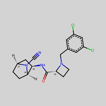 N#CN1[C@H]2CC[C@@H]1[C@H](NC(=O)[C@H]1CCN1Cc1cc(Cl)cc(Cl)c1)C2